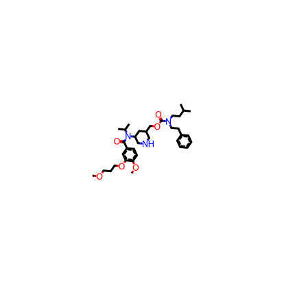 COCCCOc1cc(C(=O)N(C(C)C)C2CNCC(COC(=O)N(CCc3ccccc3)CCC(C)C)C2)ccc1OC